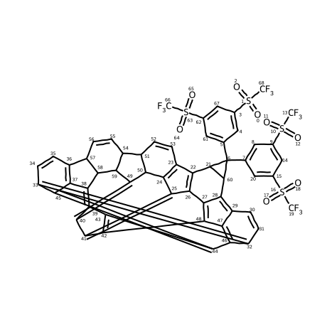 O=S(=O)(c1cc(C2(c3cc(S(=O)(=O)C(F)(F)F)cc(S(=O)(=O)C(F)(F)F)c3)C3c4c5c6c7c4c4c(c8ccc9c%10ccc%11c%12c%13c%14c(c7c7c%14c(c%12%10)c9c8c47)=C4C6C(C=C5)C5C=CC%11C%13C45)C32)cc(S(=O)(=O)C(F)(F)F)c1)C(F)(F)F